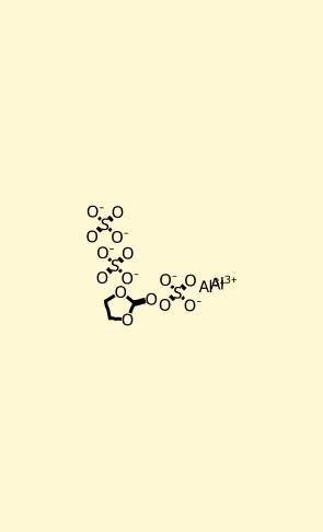 O=C1OCCO1.O=S(=O)([O-])[O-].O=S(=O)([O-])[O-].O=S(=O)([O-])[O-].[Al+3].[Al+3]